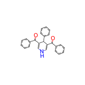 O=C(C1=CNC=C(C(=O)c2ccccc2)C1c1ccccc1)c1ccccc1